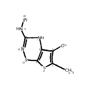 Cc1sc2c(c1Cl)NC(NC(C)C)=NS2